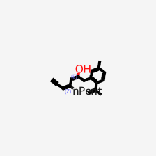 C#C/C=C(\C=C(\O)Cc1cc(C)ccc1C(=C)C)CCCCC